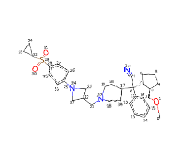 COC[C@@H]1CCC[C@H]1C(C#N)(c1ccccc1)C1CCN(CC2CN(c3ccc(S(=O)(=O)C4CC4)cc3)C2)CC1